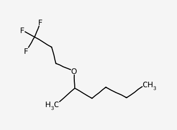 CCCCC(C)OCCC(F)(F)F